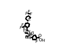 COc1cc(C(=O)O)c(F)cc1NS(=O)(=O)c1coc(-c2ccc([C@H]3CC[C@@H](C(F)(F)F)CC3)cc2C(F)(F)F)n1